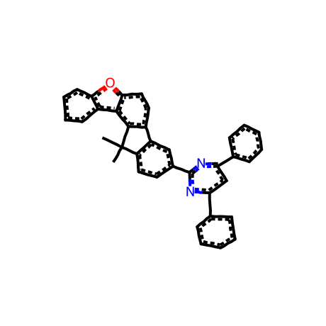 CC1(C)c2ccc(-c3nc(-c4ccccc4)cc(-c4ccccc4)n3)cc2-c2ccc3oc4ccccc4c3c21